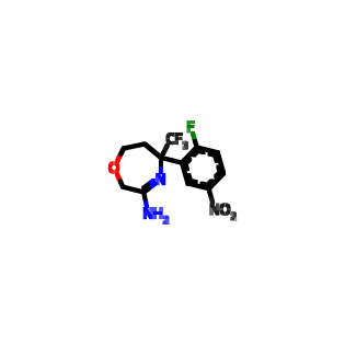 NC1=NC(c2cc([N+](=O)[O-])ccc2F)(C(F)(F)F)CCOC1